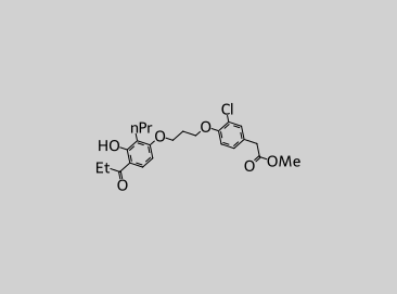 CCCc1c(OCCCOc2ccc(CC(=O)OC)cc2Cl)ccc(C(=O)CC)c1O